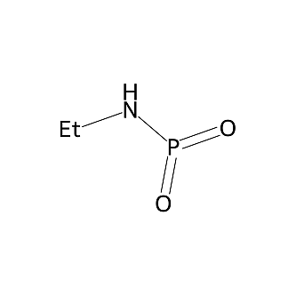 CCNP(=O)=O